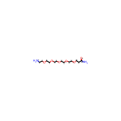 NCCOCCOCCOCCOCCOCCC(N)=O